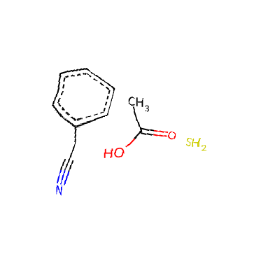 CC(=O)O.N#Cc1ccccc1.S